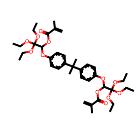 C=C(C)C(=O)OC(Oc1ccc(C(C)(C)c2ccc(OC(OC(=O)C(=C)C)C(OCC)(OCC)OCC)cc2)cc1)C(OCC)(OCC)OCC